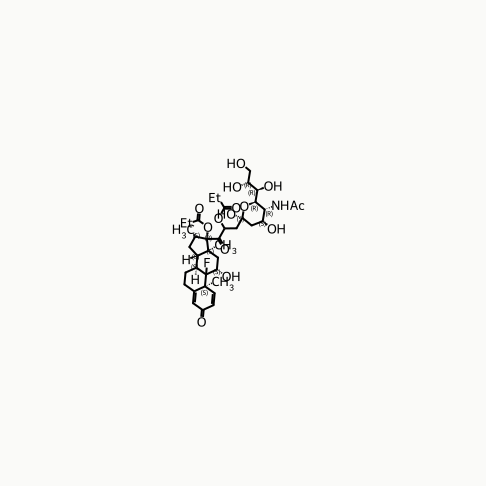 CCC(=O)OC(C[C@]1(O)C[C@H](O)[C@@H](NC(C)=O)[C@H]([C@H](O)[C@H](O)CO)O1)C(=O)[C@@]1(OC(=O)CC)[C@@H](C)C[C@H]2[C@@H]3CCC4=CC(=O)C=C[C@]4(C)C3(F)[C@@H](O)C[C@@]21C